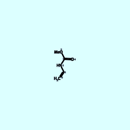 C=CNC(=O)OC